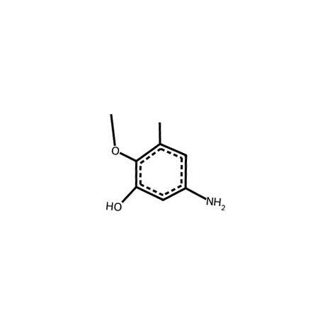 COc1c(C)cc(N)cc1O